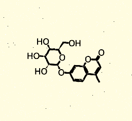 Cc1cc(=O)oc2cc(O[C@@H]3O[C@H](CO)[C@H](O)[C@H](O)[C@H]3O)ccc12